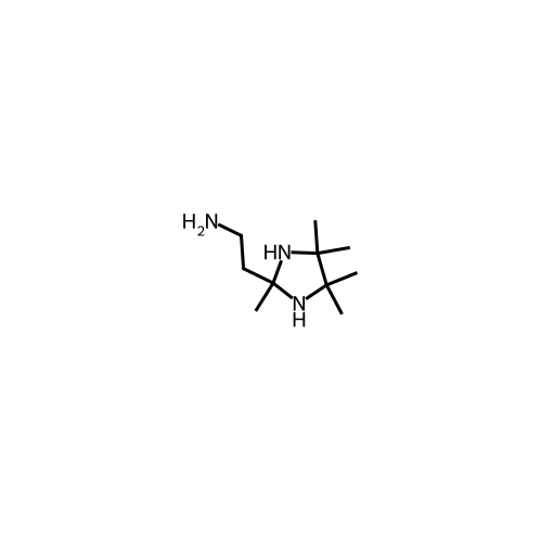 CC1(CCN)NC(C)(C)C(C)(C)N1